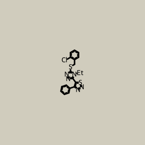 CCn1c(SCc2ccccc2Cl)nnc1-c1snnc1-c1ccccc1